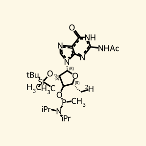 [2H]C[C@H]1O[C@@H](n2cnc3c(=O)[nH]c(NC(C)=O)nc32)[C@@H](O[Si](C)(C)C(C)(C)C)C1OP(C)N(C(C)C)C(C)C